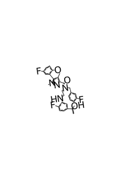 C=C(O)c1ccc(F)c(NCCN(Cc2cccc(F)c2)C(=O)c2nn(C)c3c2COc2ccc(F)cc2-3)c1